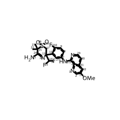 COc1cnc2c(Nc3ccc(F)c(C4(C(F)F)CS(=O)(=O)C(C)(C)C(N)=N4)c3)nccc2c1